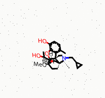 CO[C@]12CC[C@@]3(C[C@@H]1[C@](C)(O)C(C)(C)C)[C@@H](C)N(CC1CC1)CC[C@@]31c3c(C)ccc(O)c3O[C@@H]21